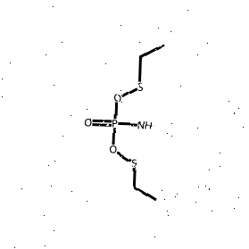 CCSOP([NH])(=O)OSCC